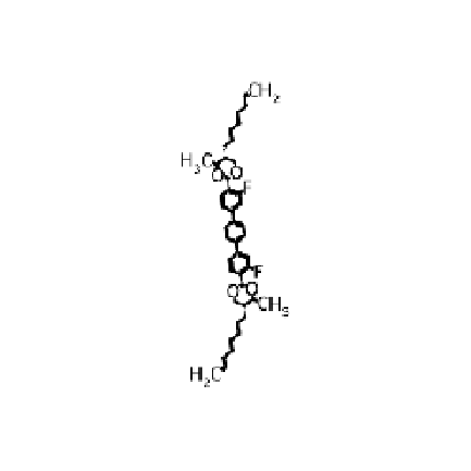 C=CCCCCCC[C@@H]1CO[C@@H](c2ccc(-c3ccc(-c4ccc([C@@H]5OC[C@@H](CCCCCCC=C)C(C)O5)c(F)c4)cc3)cc2F)OC1C